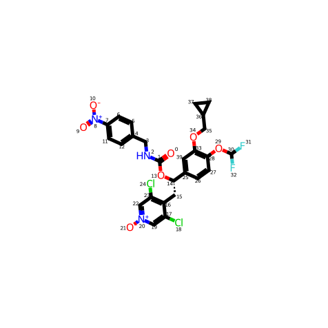 O=C(NCc1ccc([N+](=O)[O-])cc1)O[C@@H](Cc1c(Cl)c[n+]([O-])cc1Cl)c1ccc(OC(F)F)c(OCC2CC2)c1